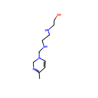 CC1=NCN(CNCCNCCO)C=C1